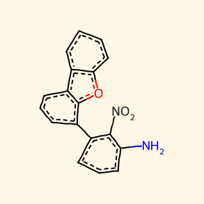 Nc1cccc(-c2cccc3c2oc2ccccc23)c1[N+](=O)[O-]